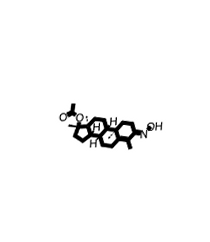 CC(=O)O[C@@]1(C)CC[C@H]2[C@@H]3CCC4=C(C)/C(=N/O)CC[C@]4(C)[C@H]3CC[C@@]21C